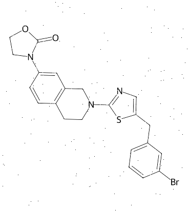 O=C1OCCN1c1ccc2c(c1)CN(c1ncc(Cc3cccc(Br)c3)s1)CC2